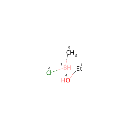 CBCl.CCO